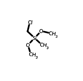 CO[Si](C)(CCl)OC